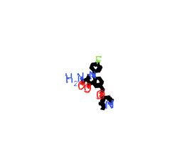 Cc1cc(OCc2ccc3c(c2)c(=O)c(C(N)=O)cn3-c2ccc(F)cc2)ccn1